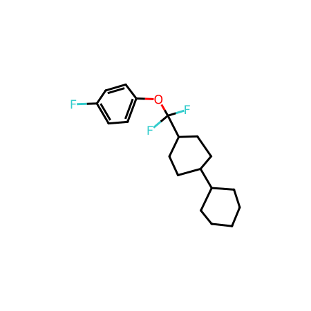 Fc1ccc(OC(F)(F)C2CCC(C3CCCCC3)CC2)cc1